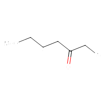 COCCCC(=O)CC(C)=O